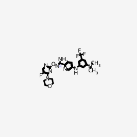 CN(C)c1cc(Nc2ccc(/C(N)=N/Oc3ncc(F)c(N4CCOCC4)n3)nc2)cc(C(F)(F)F)c1